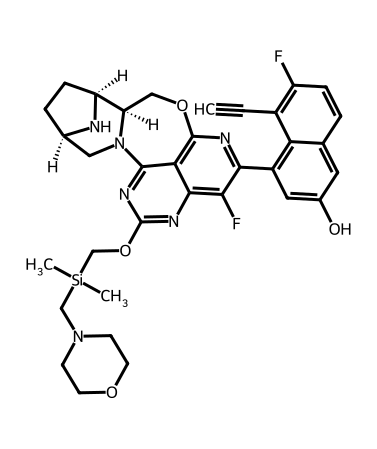 C#Cc1c(F)ccc2cc(O)cc(-c3nc4c5c(nc(OC[Si](C)(C)CN6CCOCC6)nc5c3F)N3C[C@H]5CC[C@H](N5)[C@H]3CO4)c12